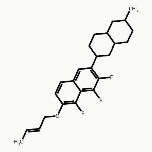 CC=CCOc1ccc2cc(C3CCC4CC(C)CCC4C3)c(F)c(F)c2c1F